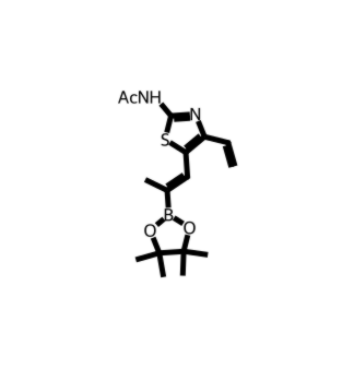 C=Cc1nc(NC(C)=O)sc1/C=C(\C)B1OC(C)(C)C(C)(C)O1